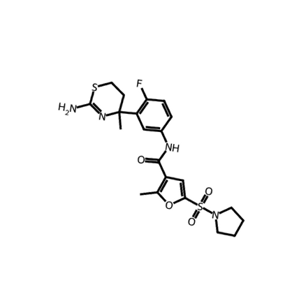 Cc1oc(S(=O)(=O)N2CCCC2)cc1C(=O)Nc1ccc(F)c(C2(C)CCSC(N)=N2)c1